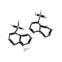 O=S(=O)([O-])c1cccc2ccccc12.O=S(=O)([O-])c1cccc2ccccc12.[Cu+2]